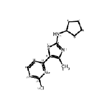 Cc1nc(NC2CCCC2)sc1-c1ccnc(Cl)n1